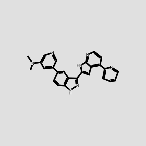 CN(C)c1cncc(-c2ccc3[nH]nc(-c4cc5c(-c6ccccn6)ccnc5[nH]4)c3c2)c1